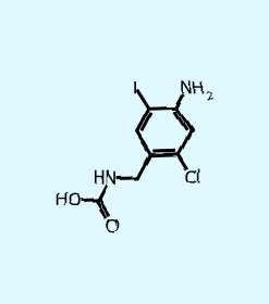 Nc1cc(Cl)c(CNC(=O)O)cc1I